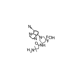 CC(C)(N)CC(=O)NC1CN(c2ccc(C#N)c3nccnc23)CC(F)(F)C1.Cl